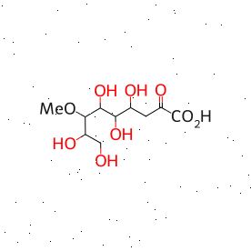 COC(C(O)CO)C(O)C(O)C(O)CC(=O)C(=O)O